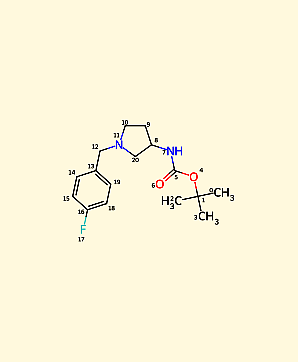 CC(C)(C)OC(=O)NC1CCN(Cc2ccc(F)cc2)C1